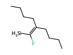 CCCCC(CCCC)=C(F)[SiH3]